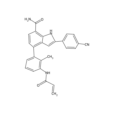 C=CC(=O)Nc1cccc(-c2ccc(C(N)=O)c3[nH]c(-c4ccc(C#N)cc4)cc23)c1C